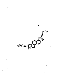 CCCC#Cc1cc2c3ccc4c(ccc5c4cc(C#CCCC)n5C)c3ccc2n1C